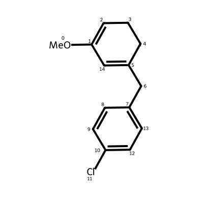 COC1=CC[CH]C(Cc2ccc(Cl)cc2)=C1